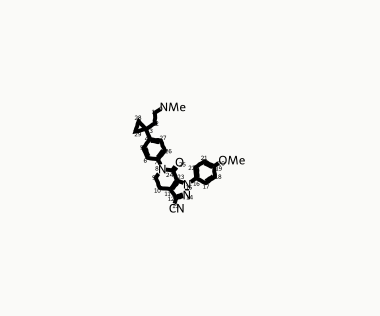 CNCCC1(c2ccc(N3CCc4c(C#N)nn(-c5ccc(OC)cc5)c4C3=O)cc2)CC1